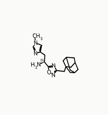 Cn1cnc(C[C@H](N)c2nc(CC34CC5CC(CC(C5)C3)C4)no2)c1